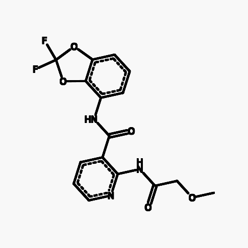 COCC(=O)Nc1ncccc1C(=O)Nc1cccc2c1OC(F)(F)O2